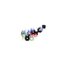 C[C@@H](Oc1c(N)ncc2c(C3=CCN(C4CCC4)CC3)coc12)c1c(Cl)ccc(F)c1Cl